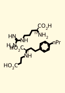 CCCc1ccc(CC[C@@H](NCCC(=O)O)C(=O)O)cc1.N=C(N)NCCC[C@H](N)C(=O)O